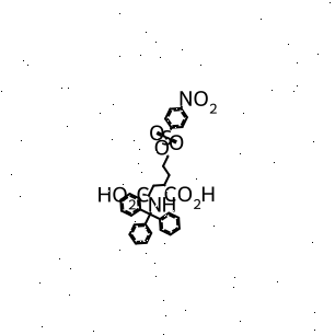 O=C(O)[C@@H](CCCOS(=O)(=O)c1ccc([N+](=O)[O-])cc1)C[C@@H](NC(c1ccccc1)(c1ccccc1)c1ccccc1)C(=O)O